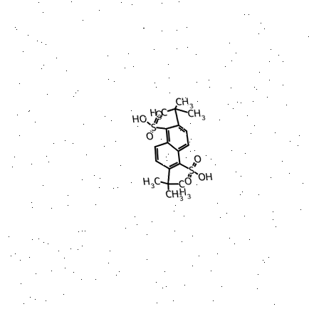 CC(C)(C)c1ccc2c(S(=O)(=O)O)c(C(C)(C)C)ccc2c1S(=O)(=O)O